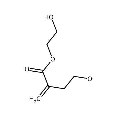 C=C(CC[O])C(=O)OCCO